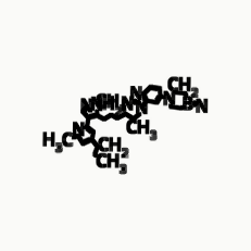 C=C(CC)c1cc(C)nc(-c2cnn(C)c2CCCCC(C)Cn2c(N)nc3ccc(N4CCB(C#N)CC4=C)cc32)c1